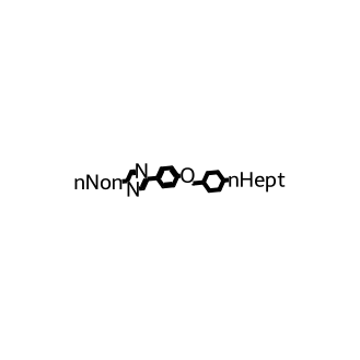 CCCCCCCCCc1cnc(-c2ccc(OCC3CCC(CCCCCCC)CC3)cc2)cn1